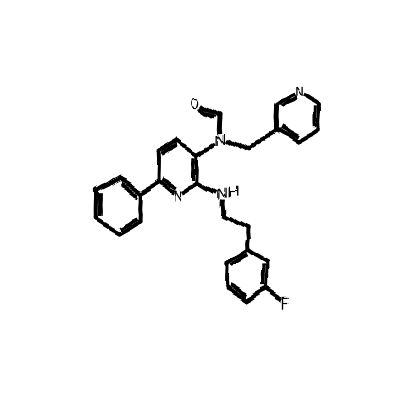 O=CN(Cc1cccnc1)c1ccc(-c2ccccc2)nc1NCCc1cccc(F)c1